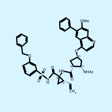 C=C[C@@H]1C[C@]1(NC(=O)[C@@H]1C[C@@H](Oc2ccnc3cc(OC)c(-c4ccccc4)cc23)C[C@@H]1NC(C)=O)C(=O)NS(=O)(=O)c1cccc(OCc2ccccc2)c1